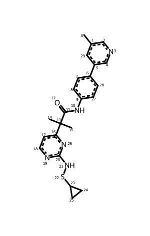 Cc1cncc(-c2ccc(NC(=O)C(C)(C)c3ccnc(NSC4CC4)n3)cc2)c1